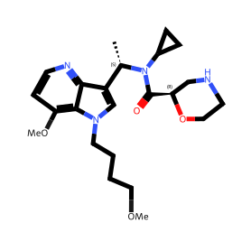 COCCCCn1cc([C@H](C)N(C(=O)[C@H]2CNCCO2)C2CC2)c2nccc(OC)c21